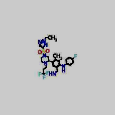 CCn1ncc(S(=O)(=O)N2CCN(CCC(F)(F)F)[C@H](c3cc(C=N)c(Nc4ccc(F)cc4)cc3C)C2)n1